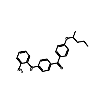 CCCC(C)Oc1ccc(C(=O)c2ccc(Nc3ccccc3N)cc2)cc1